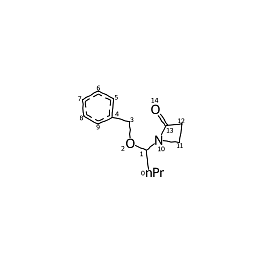 CCCC(OCc1ccccc1)N1CCC1=O